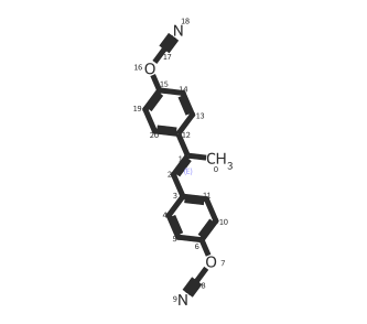 C/C(=C\c1ccc(OC#N)cc1)c1ccc(OC#N)cc1